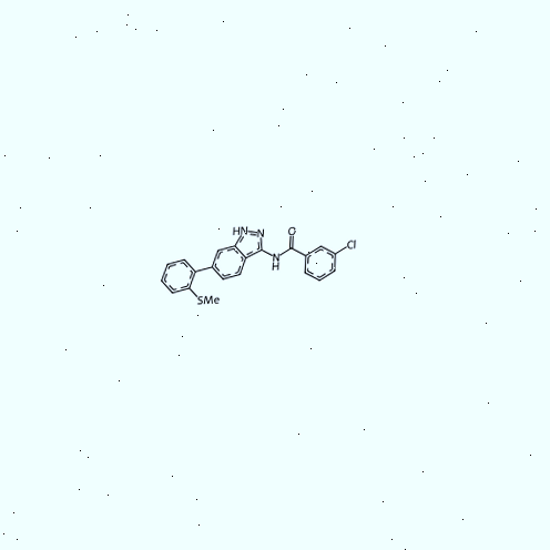 CSc1ccccc1-c1ccc2c(NC(=O)c3cccc(Cl)c3)n[nH]c2c1